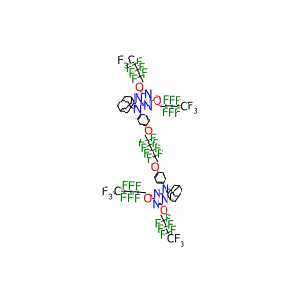 FC(F)(F)C(F)(F)C(F)(F)C(F)(F)COc1nc(OCC(F)(F)C(F)(F)C(F)(F)C(F)(F)F)nc(N(c2ccc(OCC(F)(F)C(F)(F)C(F)(F)C(F)(F)COc3ccc(N(c4nc(OCC(F)(F)C(F)(F)C(F)(F)C(F)(F)F)nc(OCC(F)(F)C(F)(F)C(F)(F)C(F)(F)F)n4)C45CC6CC(CC(C6)C4)C5)cc3)cc2)C23CC4CC(CC(C4)C2)C3)n1